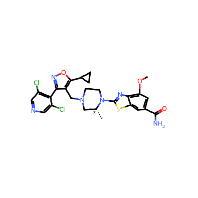 COc1cc(C(N)=O)cc2sc(N3CCN(Cc4c(-c5c(Cl)cncc5Cl)noc4C4CC4)C[C@H]3C)nc12